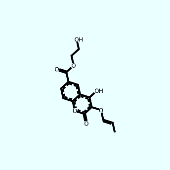 CC=COc1c(O)c2cc(C(=O)OCCO)ccc2oc1=O